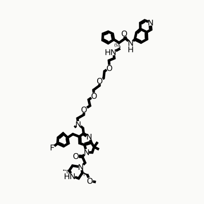 COC[C@H]1CN[C@H](C)CN1CC(=O)N1CC(C)(C)c2nc(CN(C)CCOCCOCCOCCOCCNC[C@@H](C(=O)Nc3ccc4cnccc4c3)c3ccccc3)c(Cc3ccc(F)cc3)cc21